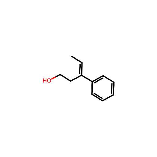 C/C=C(\CCO)c1ccccc1